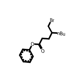 CCCCC(CBr)CCC(=O)Oc1ccccc1